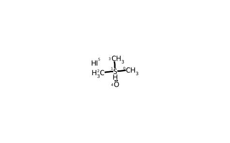 C[SH](C)(C)=O.I